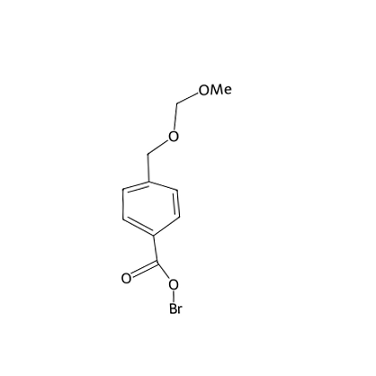 COCOCc1ccc(C(=O)OBr)cc1